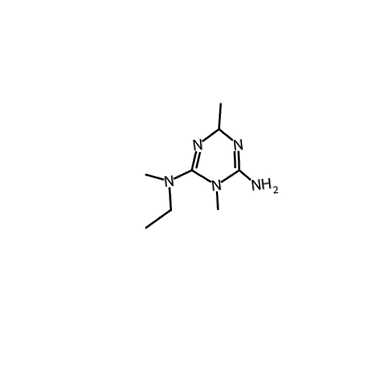 CCN(C)C1=NC(C)N=C(N)N1C